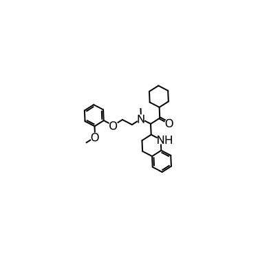 COc1ccccc1OCCN(C)C(C(=O)C1CCCCC1)C1CCc2ccccc2N1